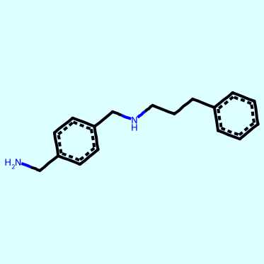 NCc1ccc(CNCCCc2ccccc2)cc1